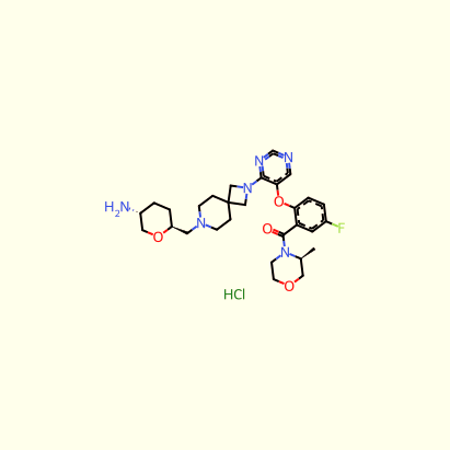 C[C@H]1COCCN1C(=O)c1cc(F)ccc1Oc1cncnc1N1CC2(CCN(C[C@@H]3CC[C@@H](N)CO3)CC2)C1.Cl